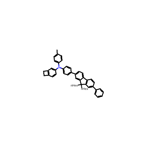 CCCCCCC1(CCCCCC)c2cc(-c3ccccc3)ccc2-c2ccc(-c3ccc(N(c4ccc(C)cc4)c4ccc5c(c4)CC5)cc3)cc21